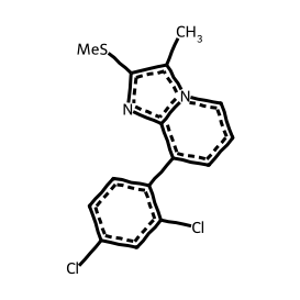 CSc1nc2c(-c3ccc(Cl)cc3Cl)cccn2c1C